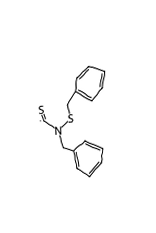 S=[C]N(Cc1ccccc1)SCc1ccccc1